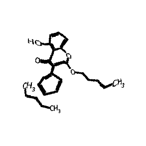 CCCCC.CCCCCOc1oc2cccc(O)c2c(=O)c1-c1ccccc1